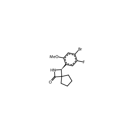 COc1cc(Br)c(F)cc1[C@@H]1NC(=O)C12CCCC2